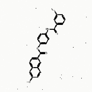 CC(=O)c1cccc(C(=O)Nc2ccc(OC(=O)c3ccc4cc(O)ccc4c3)cc2)c1